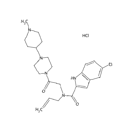 C=CCN(CC(=O)N1CCN(C2CCN(C)CC2)CC1)C(=O)c1cc2cc(Cl)ccc2[nH]1.Cl